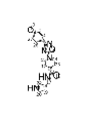 COc1ccc(-c2noc(N3CCC(C(=O)NC[C@@H]4CCNC4)CC3)n2)cc1